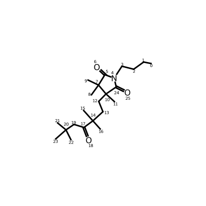 CCCCN1C(=O)C(C)(C)C(C)(CCC(C)(C)C(=O)CC(C)(C)C)C1=O